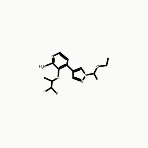 CCOC(C)n1cc(-c2ccnc(N)c2OC(C)C(F)F)cn1